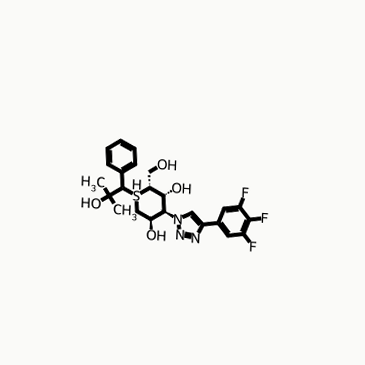 CC(C)(O)C(c1ccccc1)[SH]1C[C@H](O)[C@H](n2cc(-c3cc(F)c(F)c(F)c3)nn2)[C@@H](O)[C@H]1CO